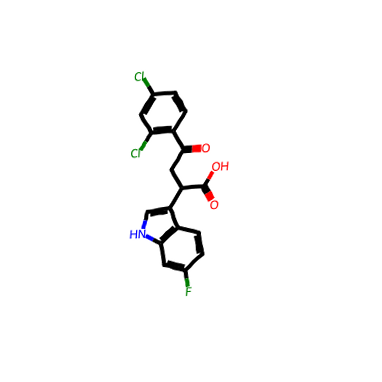 O=C(CC(C(=O)O)c1c[nH]c2cc(F)ccc12)c1ccc(Cl)cc1Cl